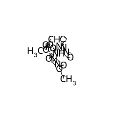 CCCCOC(=O)N1CCN(C(=O)[C@H](CCP(=O)(OCC)OCC)NC(=O)c2cc(N3CCOCC3)nc(-c3ccccc3)n2)CC1